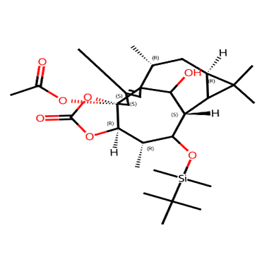 CC(=O)O[C@H]1C(C)=CC23C(O)[C@@H](C(O[Si](C)(C)C(C)(C)C)[C@H](C)[C@H]4OC(=O)O[C@@]412)C1[C@@H](C[C@H]3C)C1(C)C